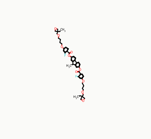 CCC1(COCCCCOc2ccc(C(=O)Oc3ccc4c(c3)C(C)c3cc(OC(=O)c5ccc(OCCCCOCC6(CC)COC6)cc5F)ccc3-4)c(F)c2)COC1